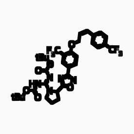 CC(C)(C)OC(=O)N=C(NC(=O)OC(C)(C)C)N1CCCC1c1nc(-c2ccc(OC/C=C\c3ccc(C(F)(F)F)cc3)c(C(F)(F)F)c2)no1